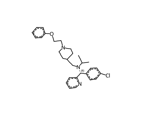 CC(C)N(CC1CCN(CCOc2ccccc2)CC1)[C@H](c1ccc(Cl)cc1)c1ccccn1